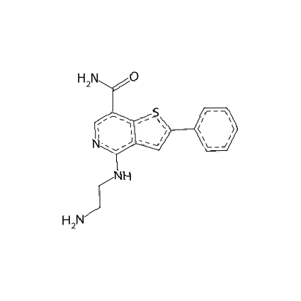 NCCNc1ncc(C(N)=O)c2sc(-c3ccccc3)cc12